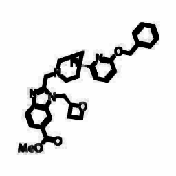 COC(=O)c1ccc2nc(CN3CC[C@]4(c5cccc(OCc6ccccc6)n5)C[C@@H]4C3)n(C[C@@H]3CCO3)c2c1